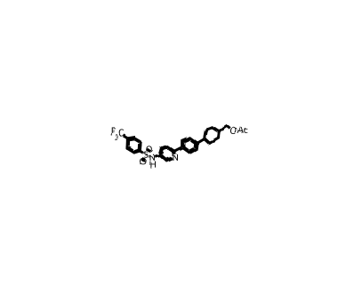 CC(=O)OCC1CCC(c2ccc(-c3ccc(NS(=O)(=O)c4ccc(C(F)(F)F)cc4)cn3)cc2)CC1